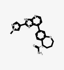 Cn1cc(-c2nc3c(-c4ccc5c(c4)OCCC[C@@H]5C(N)=O)ccnc3[nH]2)cn1